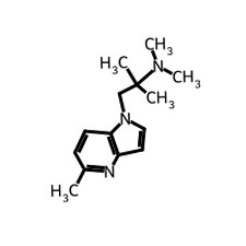 Cc1ccc2c(ccn2CC(C)(C)N(C)C)n1